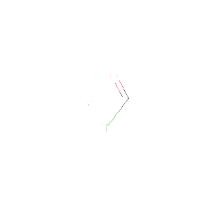 Br.O=CCl